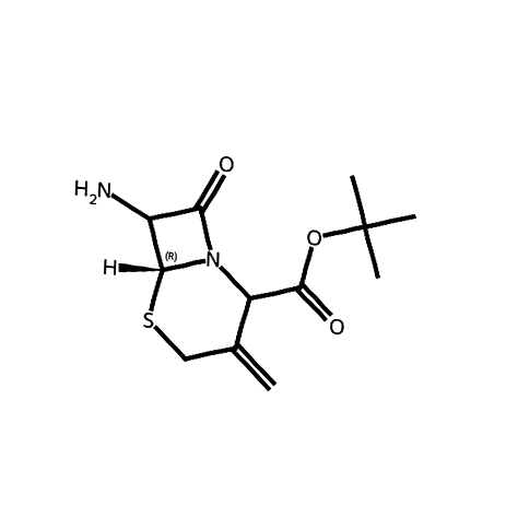 C=C1CS[C@@H]2C(N)C(=O)N2C1C(=O)OC(C)(C)C